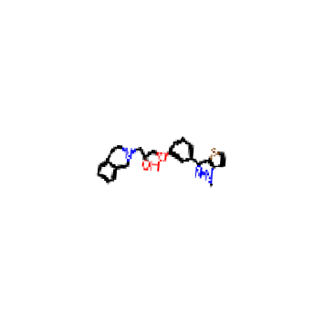 Cn1nc(-c2cccc(OC[C@H](O)CN3CCc4ccccc4C3)c2)c2sccc21